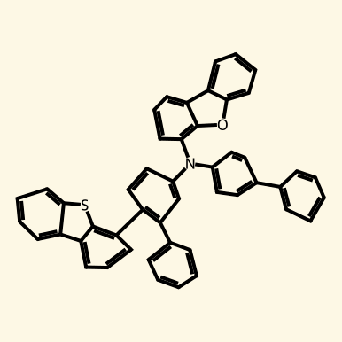 c1ccc(-c2ccc(N(c3ccc(-c4cccc5c4sc4ccccc45)c(-c4ccccc4)c3)c3cccc4c3oc3ccccc34)cc2)cc1